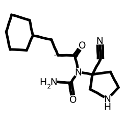 N#CC1(N(C(N)=O)C(=O)[CH]CC2CCCCC2)CCNC1